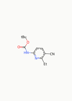 CCc1nc(NC(=O)OC(C)(C)C)ccc1C#N